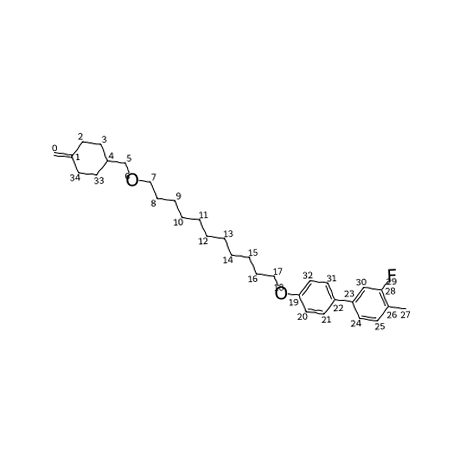 C=C1CCC(COCCCCCCCCCCCOc2ccc(-c3ccc(C)c(F)c3)cc2)CC1